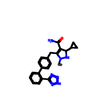 CCCN1NC(C2CC2)C(C(N)=O)=C1Cc1ccc(-c2ccccc2-c2nn[nH]n2)cc1